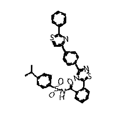 CC(C)c1ccc(S(=O)(=O)NC(=O)c2ccccc2-c2nc(-c3ccc(-c4csc(-c5ccccc5)n4)cc3)ns2)cc1